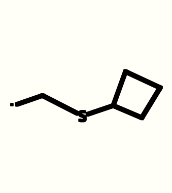 [CH2]CSC1CCC1